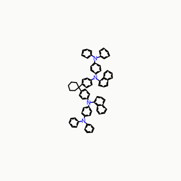 c1ccc(N(c2ccccc2)c2ccc(N(c3ccc(C4(c5ccc(N(c6ccc(N(c7ccccc7)c7ccccc7)cc6)c6cccc7ccccc67)cc5)CCCCC4)cc3)c3cccc4ccccc34)cc2)cc1